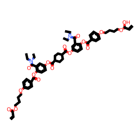 C=CC(=O)OCCCCOc1ccc(C(=O)Oc2ccc(OC(=O)C3CCC(C(=O)Oc4ccc(OC(=O)c5ccc(OCCCCOC(O)C=C)cc5)c(C(=O)N(CC)CC)c4)CC3)cc2C(=O)N(CC)CC)cc1